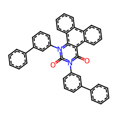 O=c1c2c3ccccc3c3ccccc3c2n(-c2cccc(-c3ccccc3)c2)c(=O)n1-c1cccc(-c2ccccc2)c1